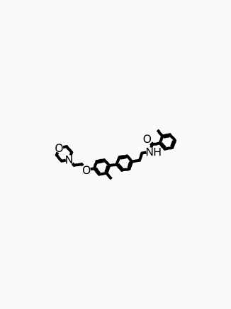 Cc1ccccc1C(=O)NCCc1ccc(-c2ccc(OCCN3CCOCC3)cc2C)cc1